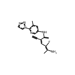 C#C/C(=C/C(F)=C(\C)N)C(=C)Nc1cnc(-n2ccnn2)c(C)c1